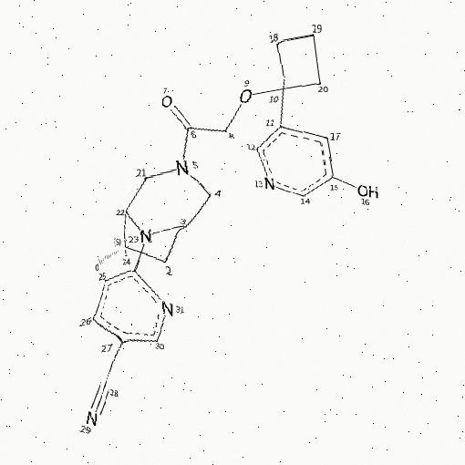 C[C@H]1CC2CN(C(=O)COC3(c4cncc(O)c4)CCC3)CC1N2c1ccc(C#N)cn1